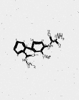 COc1cc(-c2ccccc2C(=O)NN)ccc1NC(=O)C(N)=O